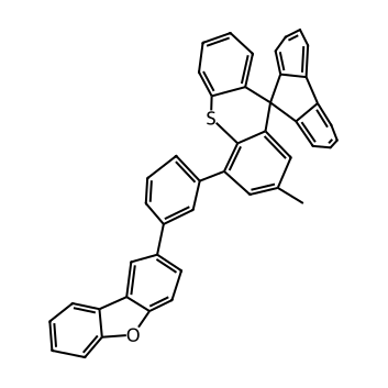 Cc1cc(-c2cccc(-c3ccc4oc5ccccc5c4c3)c2)c2c(c1)C1(c3ccccc3S2)c2ccccc2-c2ccccc21